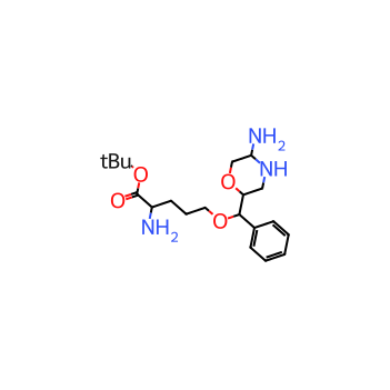 CC(C)(C)OC(=O)C(N)CCCOC(c1ccccc1)C1CNC(N)CO1